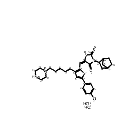 Cl.Cl.O=C1/C(=C\c2sc(-c3ccc(Cl)cc3)cc2CCCCCN2CCNCC2)SC(=S)N1C1CC2CCC1C2